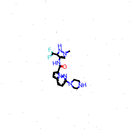 CN1C=C(NC(=O)c2ccc3ccc(N4CCNCC4)nn23)C(C(F)F)N1